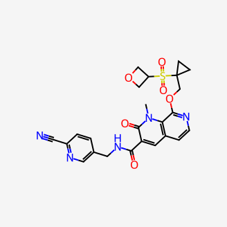 Cn1c(=O)c(C(=O)NCc2ccc(C#N)nc2)cc2ccnc(OCC3(S(=O)(=O)C4COC4)CC3)c21